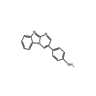 Nc1ccc(-c2cnc3nc4ccccc4n3c2)cc1